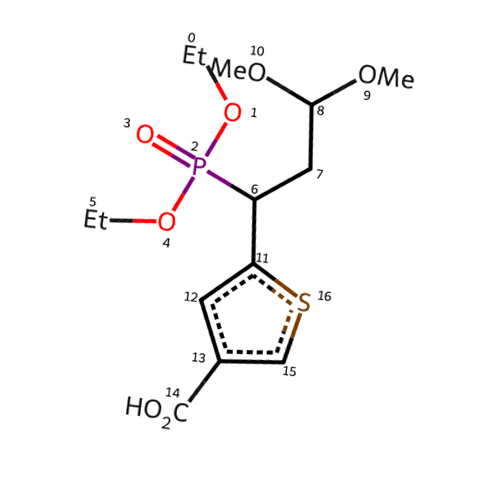 CCOP(=O)(OCC)C(CC(OC)OC)c1cc(C(=O)O)cs1